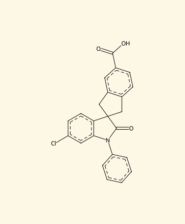 O=C(O)c1ccc2c(c1)CC1(C2)C(=O)N(c2ccccc2)c2cc(Cl)ccc21